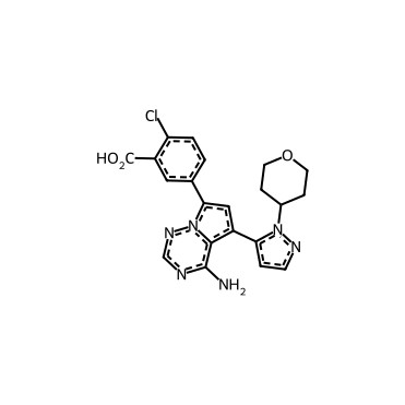 Nc1ncnn2c(-c3ccc(Cl)c(C(=O)O)c3)cc(-c3ccnn3C3CCOCC3)c12